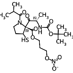 CC(C)C(=O)N1CCC(S)[C@@]1(C(=O)OCCCO[N+](=O)[O-])C(=O)[C@H](C)NC(=O)OC(C)(C)C